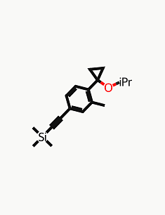 Cc1cc(C#C[Si](C)(C)C)ccc1C1(OC(C)C)CC1